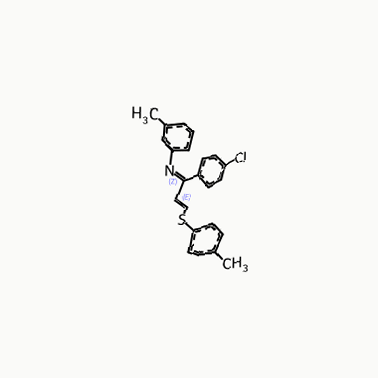 Cc1ccc(S/C=C/C(=N/c2cccc(C)c2)c2ccc(Cl)cc2)cc1